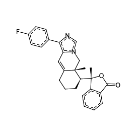 C[C@]12Cn3cnc(-c4ccc(F)cc4)c3C=C1CCC[C@@H]2[C@]1(C)OC(=O)c2ccccc21